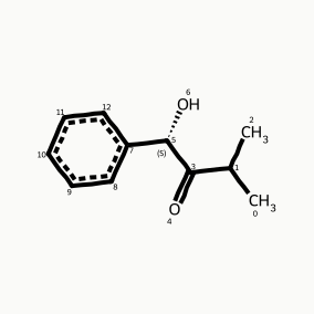 CC(C)C(=O)[C@@H](O)c1ccccc1